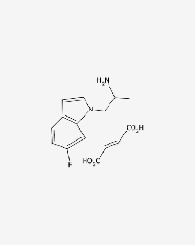 CC(N)Cn1ccc2ccc(F)cc21.O=C(O)/C=C/C(=O)O